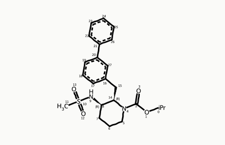 CC(C)OC(=O)N1CCC[C@@H](NS(C)(=O)=O)[C@H]1Cc1cccc(-c2ccccc2)c1